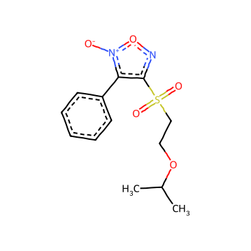 CC(C)OCCS(=O)(=O)c1no[n+]([O-])c1-c1ccccc1